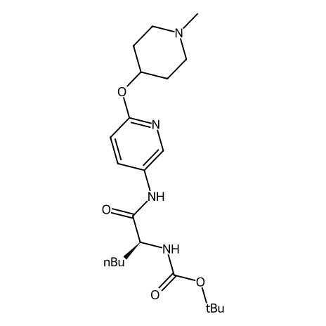 CCCC[C@H](NC(=O)OC(C)(C)C)C(=O)Nc1ccc(OC2CCN(C)CC2)nc1